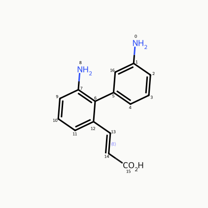 Nc1cccc(-c2c(N)cccc2/C=C/C(=O)O)c1